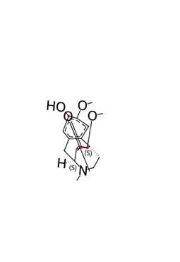 COC1=C[C@@]23CCN(C)[C@@H](Cc4cc(O)c(OC)cc42)C3=CC1=O